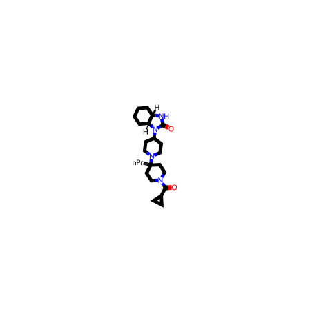 CCCC1(N2CCC(N3C(=O)N[C@H]4CCCC[C@@H]43)CC2)CCN(C(=O)C2CC2)CC1